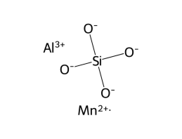 [Al+3].[Mn+2].[O-][Si]([O-])([O-])[O-]